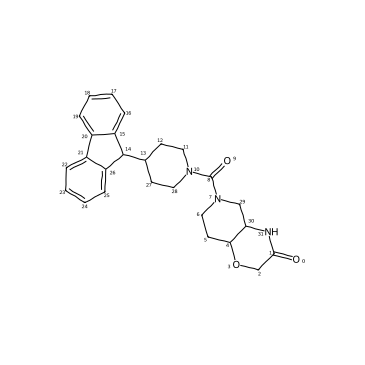 O=C1COC2CCN(C(=O)N3CCC(C4c5ccccc5-c5ccccc54)CC3)CC2N1